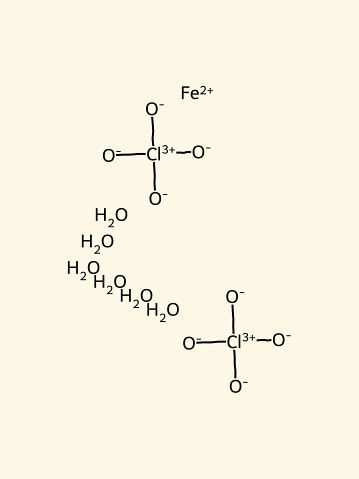 O.O.O.O.O.O.[Fe+2].[O-][Cl+3]([O-])([O-])[O-].[O-][Cl+3]([O-])([O-])[O-]